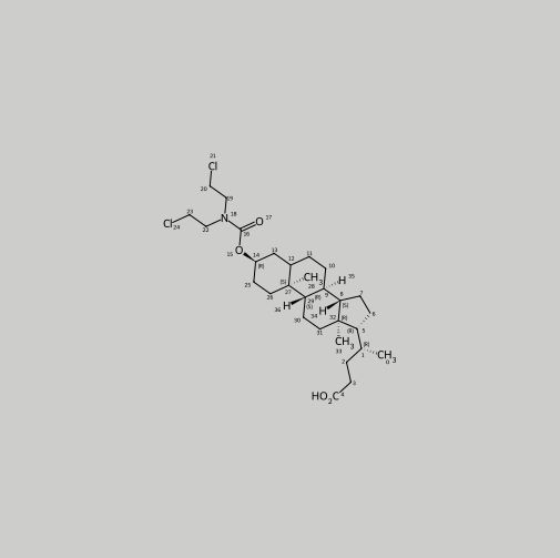 C[C@H](CCC(=O)O)[C@H]1CC[C@H]2[C@@H]3CCC4C[C@H](OC(=O)N(CCCl)CCCl)CC[C@]4(C)[C@H]3CC[C@]12C